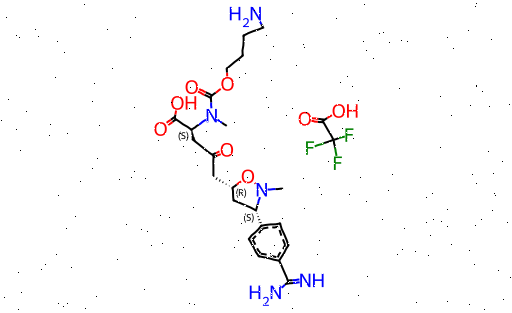 CN1O[C@@H](CC(=O)C[C@@H](C(=O)O)N(C)C(=O)OCCCCN)C[C@H]1c1ccc(C(=N)N)cc1.O=C(O)C(F)(F)F